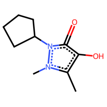 Cc1c(O)c(=O)n(C2CCCC2)n1C